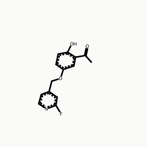 CC(=O)c1cc(OCc2ccnc(F)c2)ccc1O